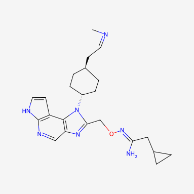 C/N=C\C[C@H]1CC[C@H](n2c(CO/N=C(\N)CC3CC3)nc3cnc4[nH]ccc4c32)CC1